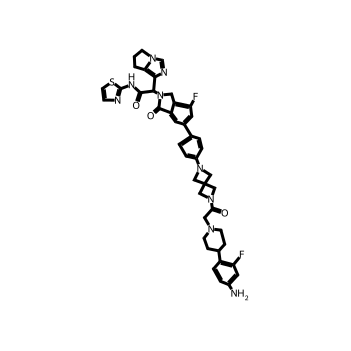 Nc1ccc(C2CCN(CC(=O)N3CC4(C3)CN(c3ccc(-c5cc(F)c6c(c5)C(=O)N(C(C(=O)Nc5nccs5)c5ncn7c5CCC7)C6)cc3)C4)CC2)c(F)c1